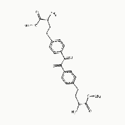 CN(CCc1ccc(C(=O)C(=O)c2ccc(CCN(C)C(=O)OC(C)(C)C)cc2)cc1)C(=O)OC(C)(C)C